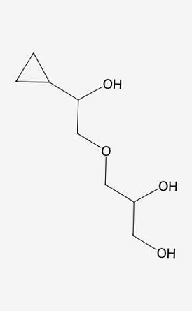 OCC(O)COCC(O)C1CC1